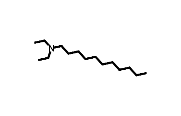 CCCCCCCCCCCN(CC)CC